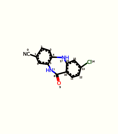 N#Cc1ccc2c(c1)NC(=O)c1ccc(Cl)cc1N2